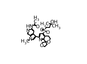 CC(=O)Nc1cc2c(-c3cc(S(=O)(=O)CCC(C)(C)O)c4c(n3)C3(CCOC3)OCC4)cn(C)c2cn1